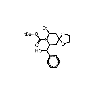 CCC1CC2(CC(C(O)c3ccccc3)N1C(=O)OC(C)(C)C)OCCO2